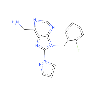 NCc1ncnc2c1nc(-n1cccn1)n2Cc1ccccc1F